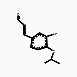 CC(C)Oc1ccc(/C=C/C=O)cc1Br